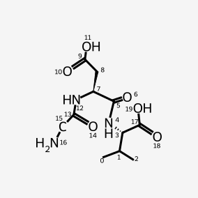 CC(C)[C@H](NC(=O)[C@H](CC(=O)O)NC(=O)CN)C(=O)O